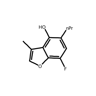 CCCc1cc(F)c2occ(C)c2c1O